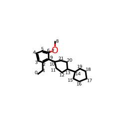 CCc1cccc(OC)c1[C]1CCC(C2CCCCC2)CC1